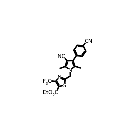 CCOC(=O)c1sc(Cn2c(C)c(C#N)c(-c3ccc(C#N)cc3)c2C)nc1C(F)(F)F